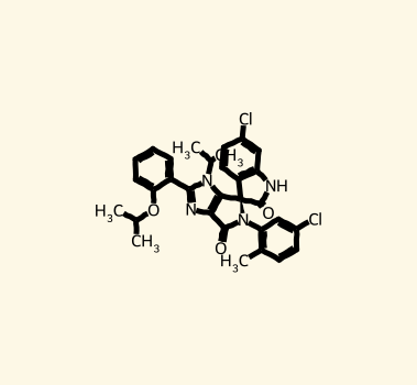 Cc1ccc(Cl)cc1N1C(=O)c2nc(-c3ccccc3OC(C)C)n(C(C)C)c2[C@]12C(=O)Nc1cc(Cl)ccc12